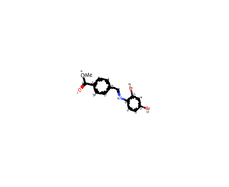 COC(=O)c1ccc(C=Nc2ccc(Br)cc2Br)cc1